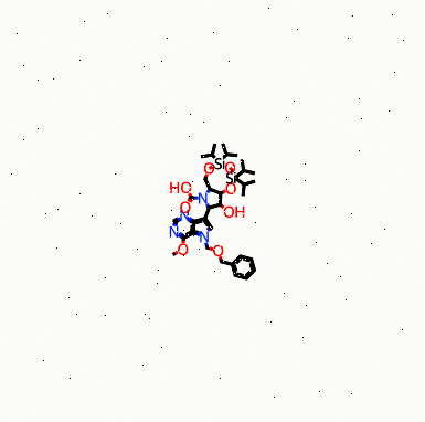 COc1ncnc2c(C3C(O)C4O[Si](C(C)C)(C(C)C)O[Si](C(C)C)(C(C)C)OCC4N3C(=O)O)cn(COCc3ccccc3)c12